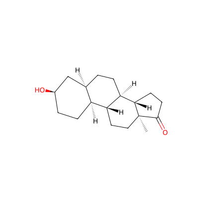 C[C@]12CC[C@H]3[C@@H](CC[C@@H]4C[C@H](O)CC[C@@H]43)[C@@H]1CCC2=O